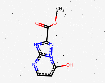 COC(=O)c1nc2nccc(O)n2n1